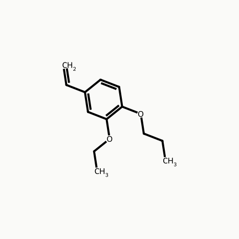 C=Cc1ccc(OCCC)c(OCC)c1